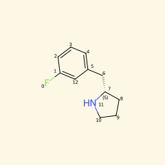 Fc1cccc(C[C@@H]2CCCN2)c1